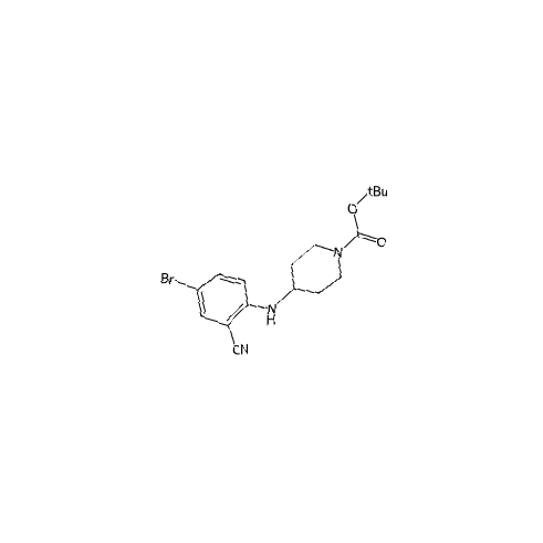 CC(C)(C)OC(=O)N1CCC(Nc2ccc(Br)cc2C#N)CC1